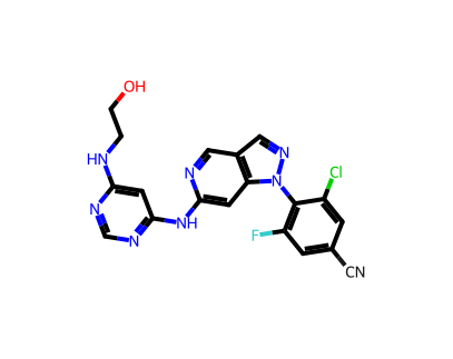 N#Cc1cc(F)c(-n2ncc3cnc(Nc4cc(NCCO)ncn4)cc32)c(Cl)c1